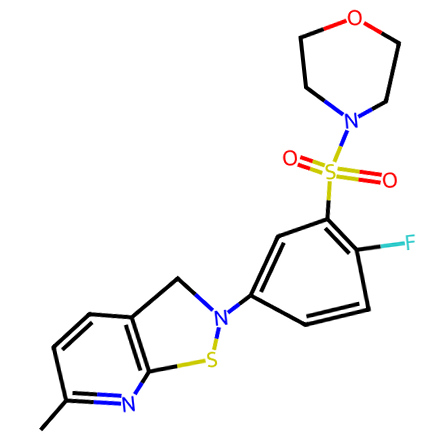 Cc1ccc2c(n1)SN(c1ccc(F)c(S(=O)(=O)N3CCOCC3)c1)C2